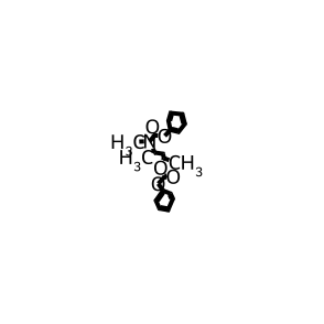 CC(CC(C)N(C)C(=O)Oc1ccccc1)OC(=O)Oc1ccccc1